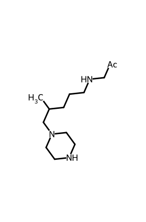 CC(=O)CNCCCC(C)CN1CCNCC1